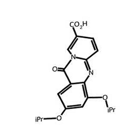 CC(C)Oc1cc(OC(C)C)c2nc3ccc(C(=O)O)cn3c(=O)c2c1